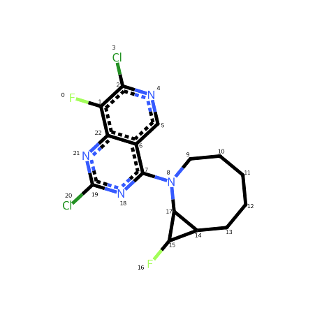 Fc1c(Cl)ncc2c(N3CCCCCC4C(F)C43)nc(Cl)nc12